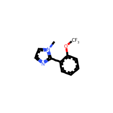 Cn1c[c]nc1-c1ccccc1OC(F)(F)F